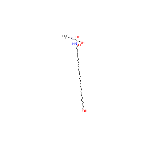 CC/C=C/C(O)C(CO)NC(=O)CCCCCCCCCCCCCCCCCCCCCCCCCCCCCO